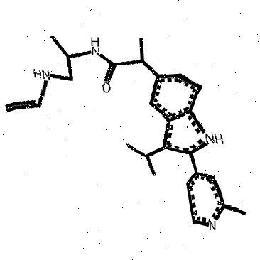 C=CNCC(C)NC(=O)C(C)c1ccc2[nH]c(-c3ccnc(C)c3)c(C(C)C)c2c1